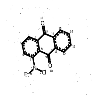 CCN(Cl)c1cccc2c1C(=O)c1ccccc1C2=O